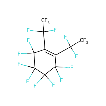 FC(F)(F)C(F)(F)C1=C(C(F)(F)C(F)(F)F)C(F)(F)C(F)(F)C(F)(F)C1(F)F